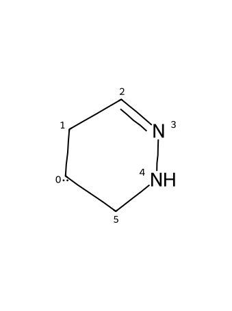 [C]1CC=NNC1